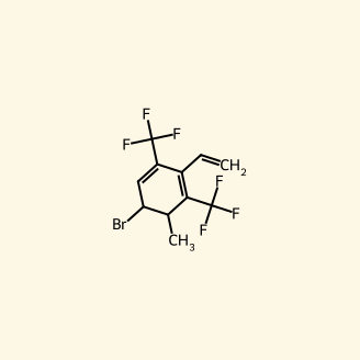 C=CC1=C(C(F)(F)F)C(C)C(Br)C=C1C(F)(F)F